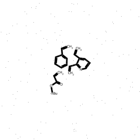 C=CC(=O)OCCCC.C=Cc1ccccc1.C=Cc1cccnc1C=C